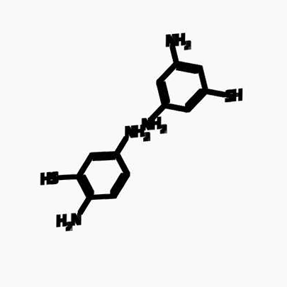 Nc1cc(N)cc(S)c1.Nc1ccc(N)c(S)c1